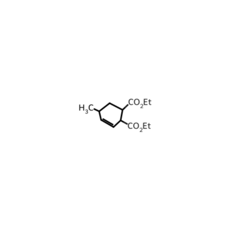 CCOC(=O)C1C=CC(C)CC1C(=O)OCC